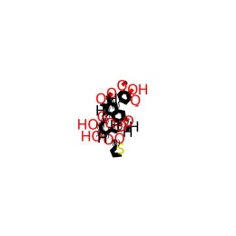 [2H]C1([2H])Oc2cc3c(cc2O1)[C@@H](O[C@@H]1O[C@@H]2CO[C@@H](c4cccs4)O[C@H]2[C@H](O)[C@H]1O)[C@H]1COC(=O)[C@@H]1[C@@H]3c1cc(OC)c(O)c(OC)c1